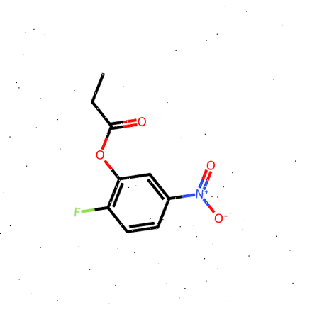 CCC(=O)Oc1cc([N+](=O)[O-])ccc1F